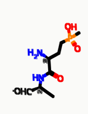 C[C@@H]([C]=O)NC(=O)[C@@H](N)CCP(C)(=O)O